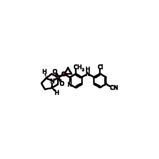 Cc1c(Nc2ccc(C#N)cc2Cl)ccnc1OC1C[C@@H]2CC[C@@H](C1)N2S(=O)(=O)C1CC1